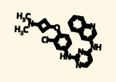 CN(C)C1CC(Oc2ccc(Nc3nccc(Nc4cnc5ccccc5c4)n3)cc2Cl)C1